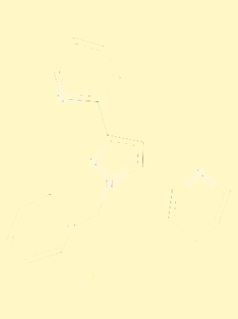 Fc1ccccc1Cn1nc(-c2ccccn2)cc1-c1ccccn1